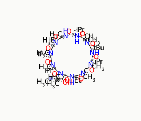 C/C=C/C[C@@H](C)[C@@H](O)[C@H]1C(=O)N[C@@H](CC)C(=O)N(C)CC(=O)N(C)[C@@H](C(C)C)C(=O)N[C@@H](C(C)(C)C)C(=O)N(C)[C@@H](C)C(=O)N[C@@H](CC(C)C)C(=O)N[C@H](C)C(=O)N(C)[C@@H](CC(C)C)C(=O)N(C)[C@@H](CC(C)C)C(=O)N(C)[C@@H](C(C)C)C(=O)N1C